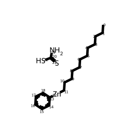 CCCCCCCCCCC[CH2][Zn][c]1ccccc1.NC(=S)S